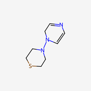 C1=CN(N2CCSCC2)CC=N1